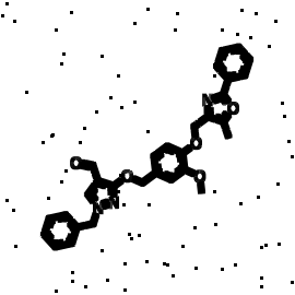 COc1cc(COc2nn(Cc3ccccc3)cc2C=O)ccc1OCc1nc(-c2ccccc2)oc1C